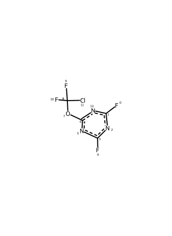 Fc1nc(F)nc(OC(F)(F)Cl)n1